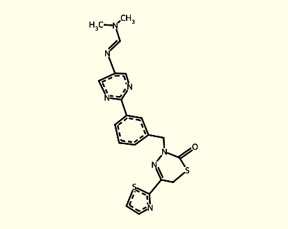 CN(C)/C=N/c1cnc(-c2cccc(CN3N=C(c4nccs4)CSC3=O)c2)nc1